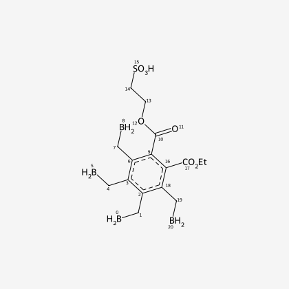 BCc1c(CB)c(CB)c(C(=O)OCCS(=O)(=O)O)c(C(=O)OCC)c1CB